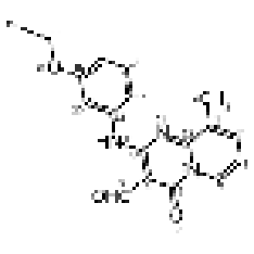 Cc1cccn2c(=O)c(C=O)c(Nc3cccc(OCF)c3)nc12